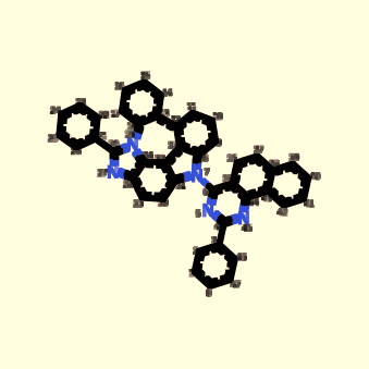 c1ccc(-c2nc(-n3c4cccc5c6ccccc6n6c(-c7ccccc7)nc7ccc3c(c54)c76)c3ccc4ccccc4c3n2)cc1